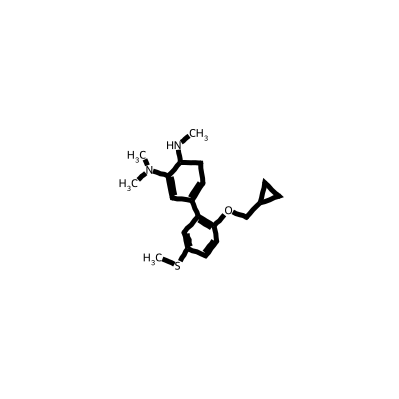 CNC1CC=C(c2cc(SC)ccc2OCC2CC2)C=C1N(C)C